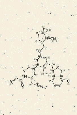 C=CC(=O)N1CCN(c2nc(OCC3CCC4(CC4)N3C)nc3c2CC[C@@]2(CCc4c(Cl)cccc42)C3)C[C@@H]1CC#N